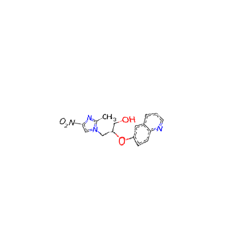 Cc1nc([N+](=O)[O-])cn1CC(CO)Oc1ccc2ncccc2c1